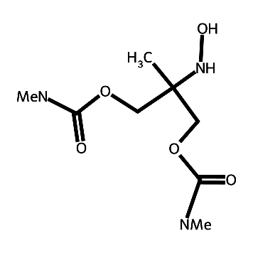 CNC(=O)OCC(C)(COC(=O)NC)NO